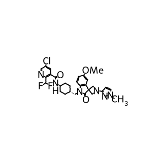 COc1ccc2c(c1)C1(CN(c3ccn(C)n3)C1)C(=O)N2C[C@H]1CC[C@H](NC(=O)c2cc(Cl)cnc2C(F)F)CC1